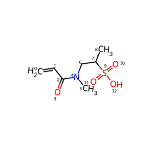 C=CC(=O)N(C)CC(C)S(=O)(=O)O